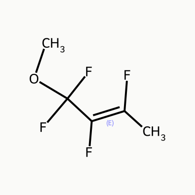 COC(F)(F)/C(F)=C(/C)F